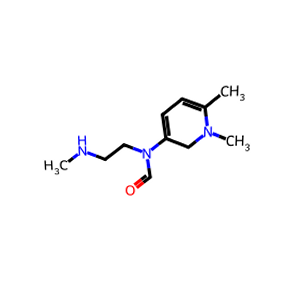 CNCCN(C=O)C1=CC=C(C)N(C)C1